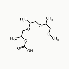 COCC(C)OCC(C)OCC(C)OC(=O)O